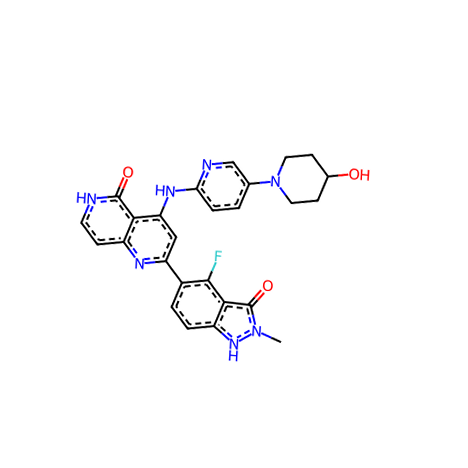 Cn1[nH]c2ccc(-c3cc(Nc4ccc(N5CCC(O)CC5)cn4)c4c(=O)[nH]ccc4n3)c(F)c2c1=O